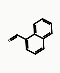 S=[C]c1cccc2ccccc12